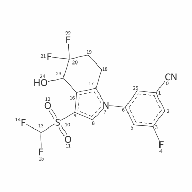 N#Cc1cc(F)cc(-n2cc(S(=O)(=O)C(F)F)c3c2CCC(F)(F)C3O)c1